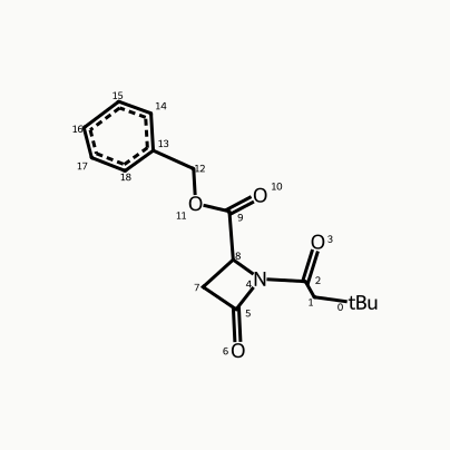 CC(C)(C)CC(=O)N1C(=O)CC1C(=O)OCc1ccccc1